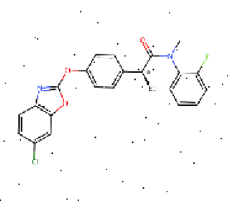 CC[C@H](C(=O)N(C)c1ccccc1F)c1ccc(Oc2nc3ccc(Cl)cc3o2)cc1